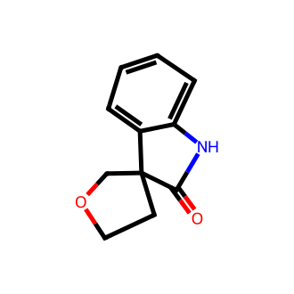 O=C1Nc2ccccc2C12CCOC2